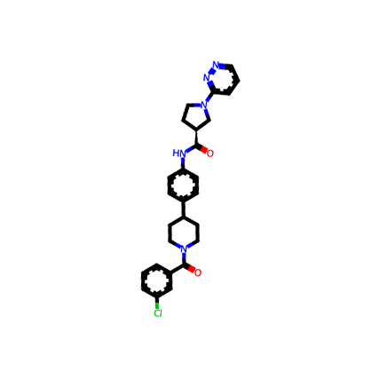 O=C(Nc1ccc(C2CCN(C(=O)c3cccc(Cl)c3)CC2)cc1)[C@H]1CCN(c2cccnn2)C1